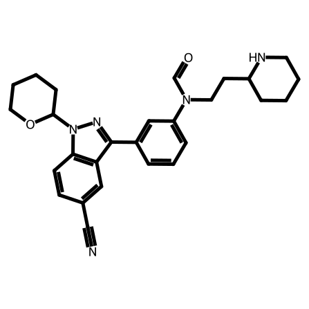 N#Cc1ccc2c(c1)c(-c1cccc(N(C=O)CCC3CCCCN3)c1)nn2C1CCCCO1